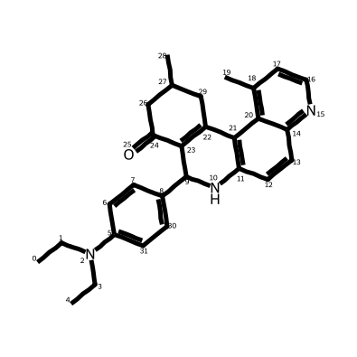 CCN(CC)c1ccc(C2Nc3ccc4nccc(C)c4c3C3=C2C(=O)CC(C)C3)cc1